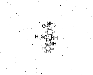 COc1cc(C(N)=O)ccc1NC(=O)Nc1ccccc1